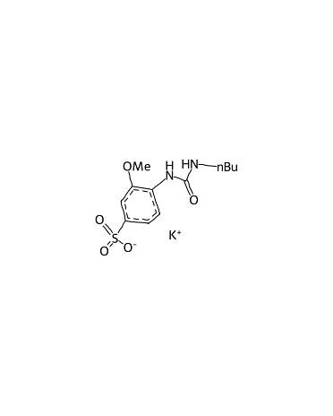 CCCCNC(=O)Nc1ccc(S(=O)(=O)[O-])cc1OC.[K+]